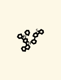 c1ccc(-n2c3ccccc3c3cc4c5c6ccccc6ccc5n(-c5cccc(-c6ccc7sc8ccccc8c7c6)c5)c4cc32)cc1